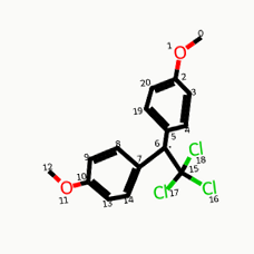 COc1ccc([C](c2ccc(OC)cc2)C(Cl)(Cl)Cl)cc1